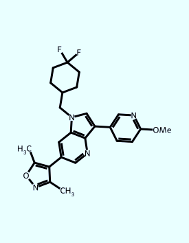 COc1ccc(-c2cn(CC3CCC(F)(F)CC3)c3cc(-c4c(C)noc4C)cnc23)cn1